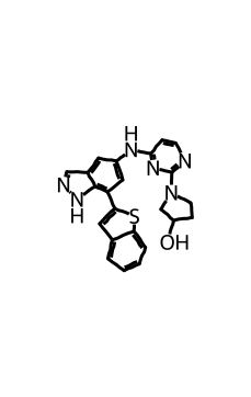 OC1CCN(c2nccc(Nc3cc(-c4cc5ccccc5s4)c4[nH]ncc4c3)n2)C1